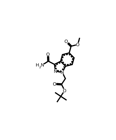 COC(=O)c1ccc2c(c1)c(C(N)=O)nn2CC(=O)OC(C)(C)C